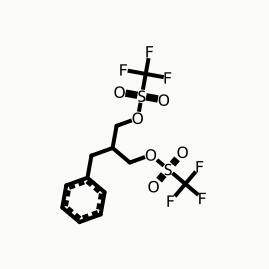 O=S(=O)(OCC(COS(=O)(=O)C(F)(F)F)Cc1ccccc1)C(F)(F)F